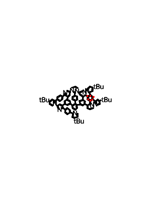 CC(C)(C)c1ccnc(-c2ccc(-c3ncccc3-c3cc(-c4cccnc4-c4ccc(-c5cc(C(C)(C)C)ccn5)cc4)cc(-c4cccc(-c5cc(-c6cccnc6-c6ccc(-c7cc(C(C)(C)C)ccn7)cc6)cc(-c6cccnc6-c6ccc(-c7cc(C(C)(C)C)ccn7)cc6)c5)c4-c4ccc(-c5ncccn5)cc4)c3)cc2)c1